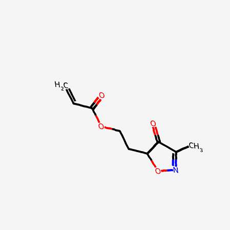 C=CC(=O)OCCC1ON=C(C)C1=O